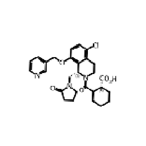 O=C(O)[C@@H]1CCCCC1C(=O)N1CCc2c(Cl)ccc(OCc3cccnc3)c2[C@H]1CN1CCCC1=O